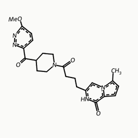 COc1ccc(C(=O)C2CCN(C(=O)CCCc3cn4c(C)ccc4c(=O)[nH]3)CC2)nn1